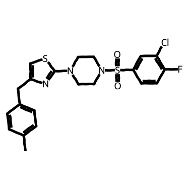 Cc1ccc(Cc2csc(N3CCN(S(=O)(=O)c4ccc(F)c(Cl)c4)CC3)n2)cc1